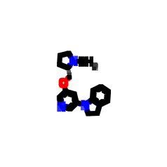 BN1CCC[C@H]1COc1cncc(N2CCc3ccccc32)c1